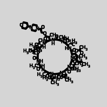 C/C=C/C[C@@H](C)[C@@H](OC(C)=O)[C@H]1C(=O)N[C@@H](CC)C(=O)N(C)[C@H](C)C(=O)N[C@@H]([C@H](C)COCC(=O)N2CCN(C3CCOCC3)CC2)C(=O)N[C@@H](C(C)C)C(=O)N(C)[C@@H](CC(C)C)C(=O)N[C@@H](C)C(=O)N[C@H](C)C(=O)N(C)[C@@H](CC(C)C)C(=O)N(C)[C@@H](CC(C)C)C(=O)N(C)[C@@H](C(C)C)C(=O)N1C